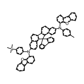 Cc1ccc(N(c2ccc3c4c(ccc3c2)-c2ccc3cc(N(c5ccc([Si](C)(C)C)cc5)c5cccc6c5oc5ccccc56)ccc3c2C42c3ccccc3-c3ccccc32)c2cccc3c2oc2ccccc23)cc1